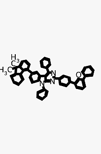 CC1(C)c2ccccc2-c2c(-c3ccc4c(c3)c3c(-c5ccccc5)nc(-c5ccc(-c6cccc7c6oc6ccccc67)cc5)nc3n4-c3ccccc3)cccc21